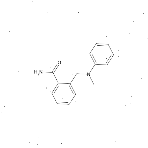 CN(Cc1ccccc1C(N)=O)c1ccccc1